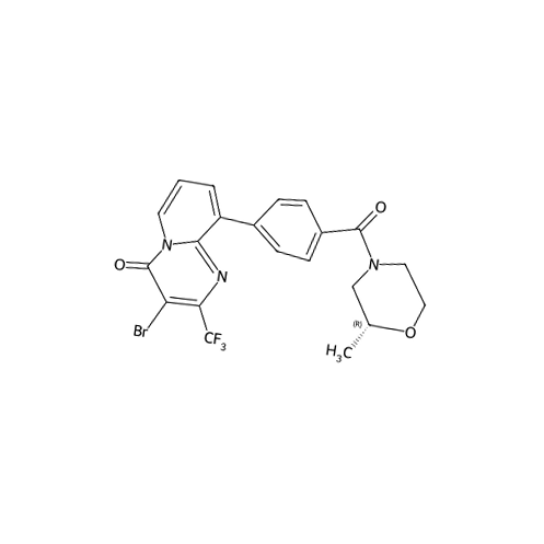 C[C@@H]1CN(C(=O)c2ccc(-c3cccn4c(=O)c(Br)c(C(F)(F)F)nc34)cc2)CCO1